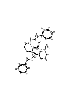 CC1CCCC(CCOc2ccccc2)N1C(=O)N1C(C)CCCC1CCOc1ccccc1